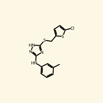 Cc1cccc(Nc2n[nH]c(SCc3ccc(Cl)s3)n2)c1